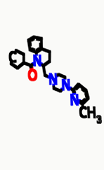 Cc1cccc(N2CCN(CC3CCc4ccccc4N3C(=O)C3CCCCC3)CC2)n1